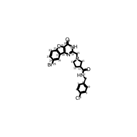 O=C(NCc1ccc(Cl)cc1)C1CCN(Cc2nc3c(oc4ccc(Br)cc43)c(=O)[nH]2)C1